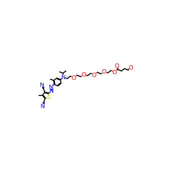 Cc1cc(N(CCOCCOCCOCCOCCOC(=O)CCC=O)C(C)C)ccc1/N=N/c1sc(C#N)c(C)c1C#N